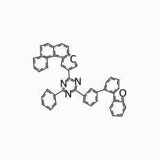 c1ccc(-c2nc(-c3cccc(-c4cccc5oc6ccccc6c45)c3)nc(-c3ccc4ccc5ccc6ccccc6c5c4c3)n2)cc1